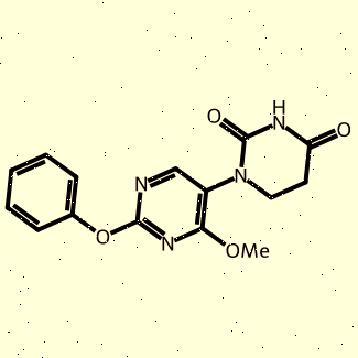 COc1nc(Oc2ccccc2)ncc1N1CCC(=O)NC1=O